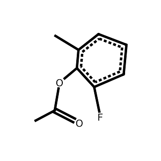 CC(=O)Oc1c(C)cccc1F